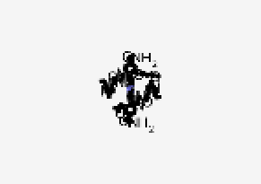 CCn1nc(C)cc1C(=O)Nc1nc2cc(C(N)=O)cc(OCCCOC)c2n1C/C=C/Cn1c(NC(=O)c2cc(C)nn2CC)nc2cc(C(N)=O)c3oc(C)cc3c21